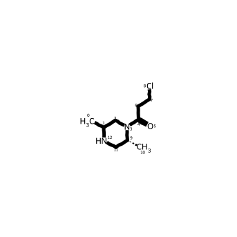 CC1CN(C(=O)CCCl)[C@H](C)CN1